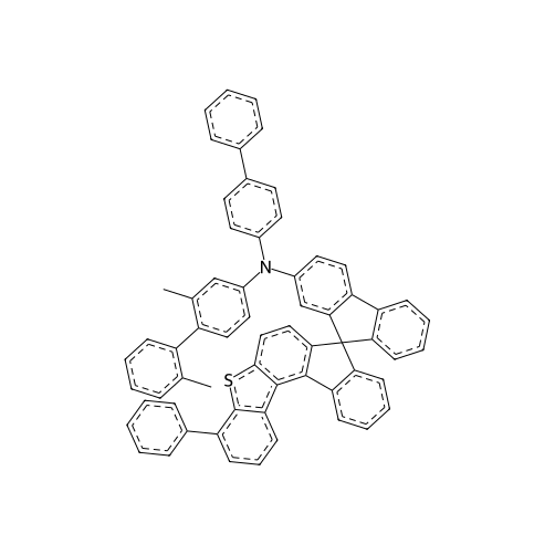 Cc1ccccc1-c1ccc(N(c2ccc(-c3ccccc3)cc2)c2ccc3c(c2)C2(c4ccccc4-3)c3ccccc3-c3c2ccc2sc4c(-c5ccccc5)cccc4c32)cc1C